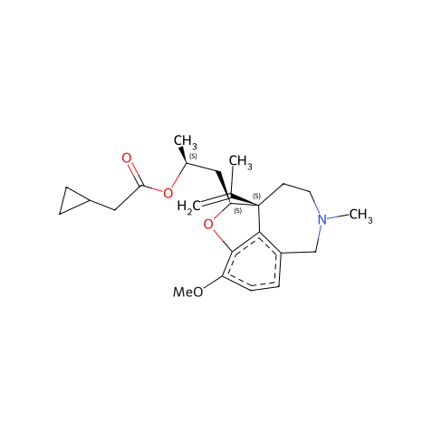 C=C(C)[C@@]12CCN(C)Cc3ccc(OC)c(c31)O[C@H]2C[C@H](C)OC(=O)CC1CC1